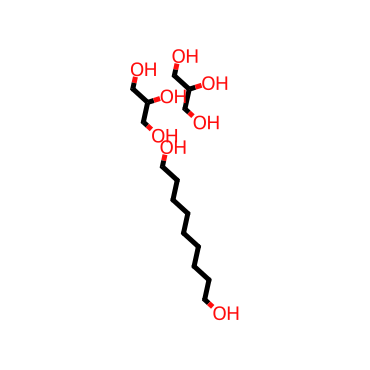 OCC(O)CO.OCC(O)CO.OCCCCCCCCCO